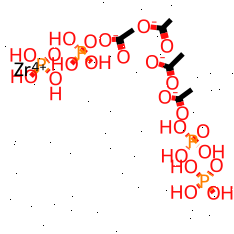 CC(=O)[O-].CC(=O)[O-].CC(=O)[O-].CC(=O)[O-].O=P(O)(O)O.O=P(O)(O)O.O=P(O)(O)O.O=P(O)(O)O.[Zr+4]